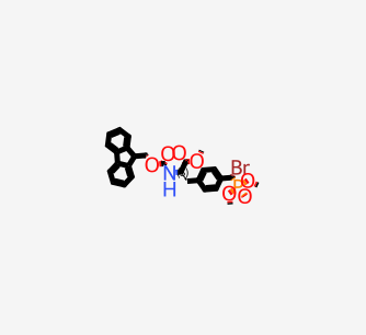 COC(=O)[C@H](Cc1ccc(C(Br)P(=O)(OC)OC)cc1)NC(=O)OCC1c2ccccc2-c2ccccc21